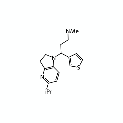 CNCCC(c1ccsc1)N1CCc2nc(C(C)C)ccc21